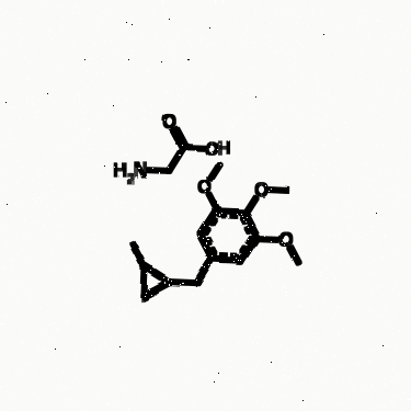 COc1cc(CC2CC2C)cc(OC)c1OC.NCC(=O)O